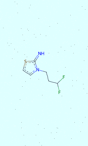 N=c1sccn1CCC(F)F